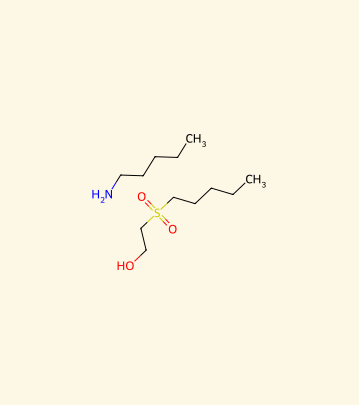 CCCCCN.CCCCCS(=O)(=O)CCO